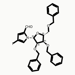 O=Cc1cc(I)cn1[C@@H]1O[C@H](COCc2ccccc2)[C@@H](OCc2ccccc2)[C@H]1OCc1ccccc1